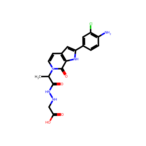 CC(C(=O)NNCC(=O)O)n1ccc2cc(-c3ccc(N)c(Cl)c3)[nH]c2c1=O